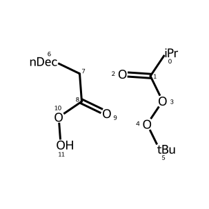 CC(C)C(=O)OOC(C)(C)C.CCCCCCCCCCCC(=O)OO